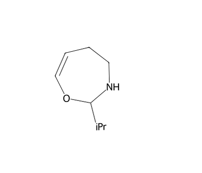 CC(C)C1NCCC=CO1